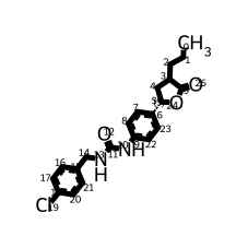 CCCC1C[C@@H](c2ccc(NC(=O)NCc3ccc(Cl)cc3)cc2)OC1=O